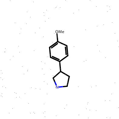 COc1ccc(C2CC[N]C2)cc1